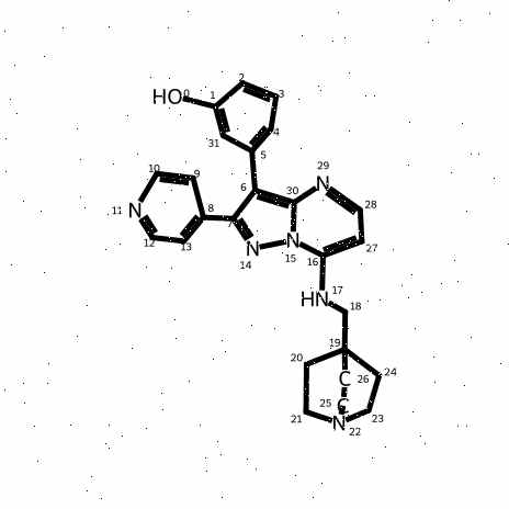 Oc1cccc(-c2c(-c3ccncc3)nn3c(NCC45CCN(CC4)CC5)ccnc23)c1